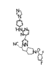 N#CCC(CC1CCN(C(=O)c2ccc(F)cc2F)CC1)n1cc(-c2ccnc(Nc3ccc(N4C=NCC4)cc3)n2)cn1